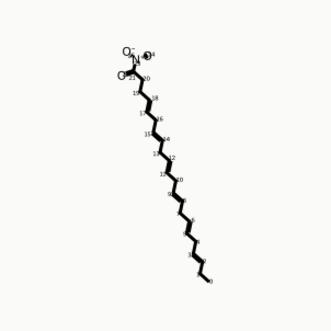 CCC=CCC=CCC=CCC=CCC=CCC=CCCC(=O)[N+](=O)[O-]